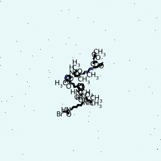 COC(=O)C[C@@H]1C[C@@]2(CO2)C[C@@H](/C=C/C(C)=C/C[C@@H]2O[C@H](C)[C@H](NC(=O)/C=C\[C@H](C)OC(=O)CCc3ccccc3NC(=O)[C@H](C)NC(=O)[C@@H](NC(=O)CCCCCNC(=O)CBr)C(C)C)C[C@@H]2C)O1